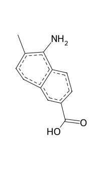 Cc1ccc2cc(C(=O)O)ccc2c1N